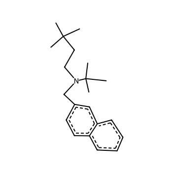 CC(C)(C)CCN(Cc1ccc2ccccc2c1)C(C)(C)C